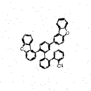 N#Cc1ccccc1-c1ccccc1-c1cc(-c2ccc3oc4ccccc4c3c2)ccc1-c1cccc2oc3ccccc3c12